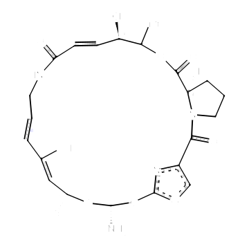 CC1=C\[C@@H](O)C[C@@H](N)Cc2nc(co2)C(=O)N2CCC[C@@H]2C(=O)OC(C(C)C)[C@H](C)/C=C/C(=O)NC\C=C\1